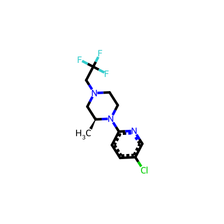 C[C@H]1CN(CC(F)(F)F)CCN1c1ccc(Cl)cn1